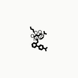 CCCCOc1c2n(c(Cc3ccccc3-c3ccc(C(C)C)cc3)nc1=O)CCN(C(C)C)C2=O